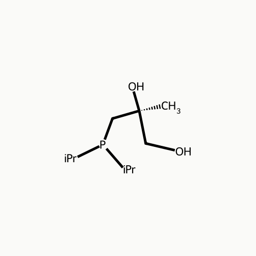 CC(C)P(C[C@@](C)(O)CO)C(C)C